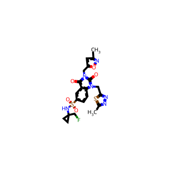 Cc1cc(Cn2c(=O)c3cc(S(=O)(=O)NC4(CF)CC4)ccc3n(Cc3nnc(C)s3)c2=O)on1